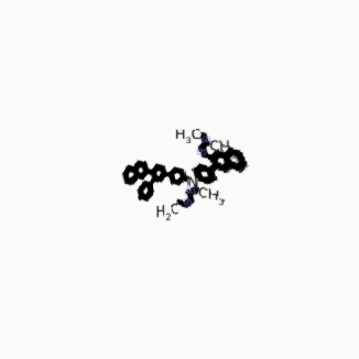 C=C/C=C\C=C(/C)N(c1ccc(-c2cc3ccccc3c(C)c2/C=C\C=C/C)cc1)C1C=CC(c2ccc(-c3ccc4ccccc4c3)c(-c3ccccc3)c2)=CC1